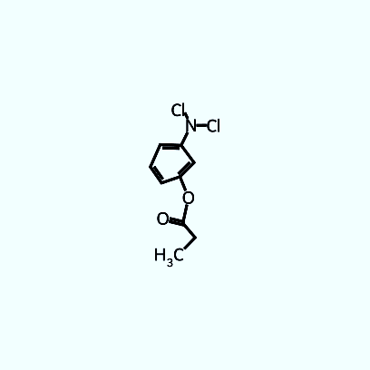 CCC(=O)Oc1cccc(N(Cl)Cl)c1